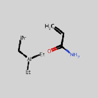 C=CC(N)=O.C[CH2][Al]([CH2]C)[CH2]C(C)C